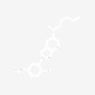 C=C/C=C\C=C(/C)c1cnc2nn(-c3cc(N)ccc3F)cc2c1